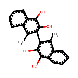 Cc1c(-c2c(O)c(O)c3ccccc3c2C)c(O)c(O)c2ccccc12